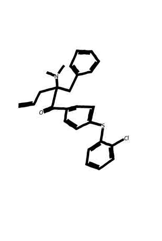 C=CCC(Cc1ccccc1)(C(=O)c1ccc(Sc2ccccc2Cl)cc1)N(C)C